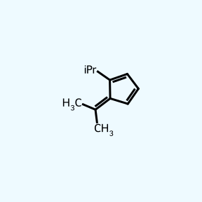 CC(C)=C1C=CC=C1C(C)C